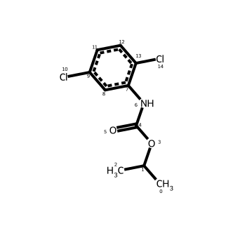 CC(C)OC(=O)Nc1cc(Cl)ccc1Cl